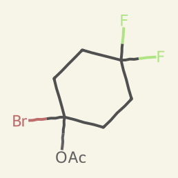 CC(=O)OC1(Br)CCC(F)(F)CC1